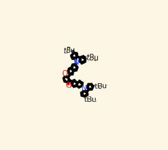 CC(C)(C)c1ccc2c(c1)c1cc(C(C)(C)C)ccc1n2-c1ccc2cc3c(cc2c1)oc1ccc2oc4cc5cc(-n6c7ccc(C(C)(C)C)cc7c7cc(C(C)(C)C)ccc76)ccc5cc4c2c13